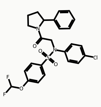 O=C(CN(c1ccc(Cl)cc1)S(=O)(=O)c1ccc(OC(F)F)cc1)N1CCCC1c1ccccc1